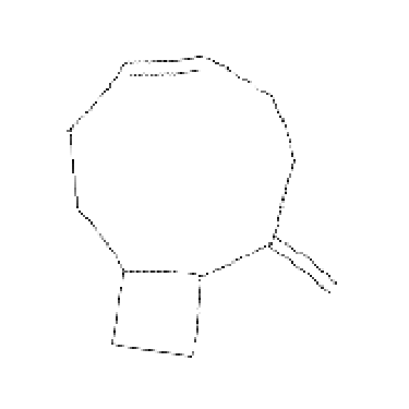 C=C1CCC=CCCC2CCC12